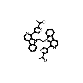 CC(=O)c1cc(-c2nccc3c4ccccc4n(CCn4c5ccccc5c5ccnc(-c6csc(C(C)=O)c6)c54)c23)cs1